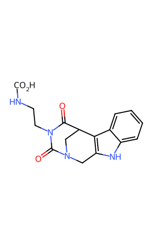 O=C(O)NCCN1C(=O)C2CN(Cc3[nH]c4ccccc4c32)C1=O